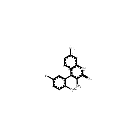 COc1ccc(Cl)cc1-c1c(N)c(=O)[nH]c2cc([N+](=O)[O-])ccc12